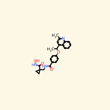 Cc1cc(C(C)Oc2ccc(C(=O)NCC3(C(=O)NO)CC3)cc2)c2ccccc2n1